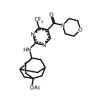 CC(=O)OC12CCC3(Nc4ncc(C(=O)N5CCOCC5)c(C(F)(F)F)n4)CC(CC(C3)C1)C2